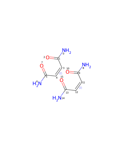 NC(=O)/C=C\C(N)=O.NC(=O)/C=C\C(N)=O